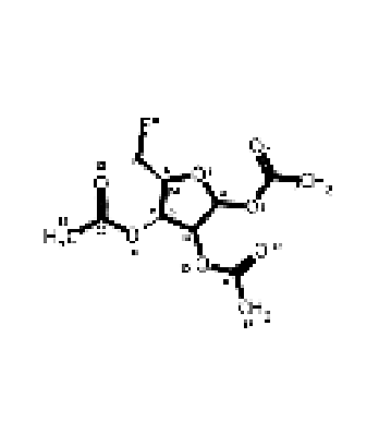 CC(=O)OC1O[C@H](CF)[C@@H](OC(C)=O)C1OC(C)=O